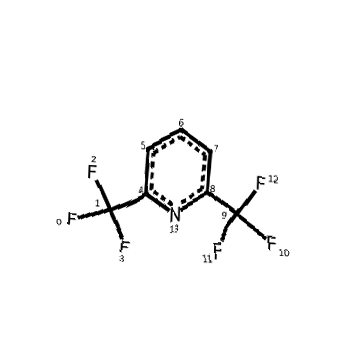 FC(F)(F)c1[c]ccc(C(F)(F)F)n1